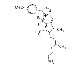 COc1ccc(-c2ccc3n2[B-](F)(F)[N+]2=C(C)C(CCC(C)CCCN)=C(C)C2=C3)cc1